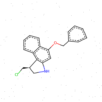 ClC[C@@H]1CNc2cc(OCc3ccccc3)c3ccccc3c21